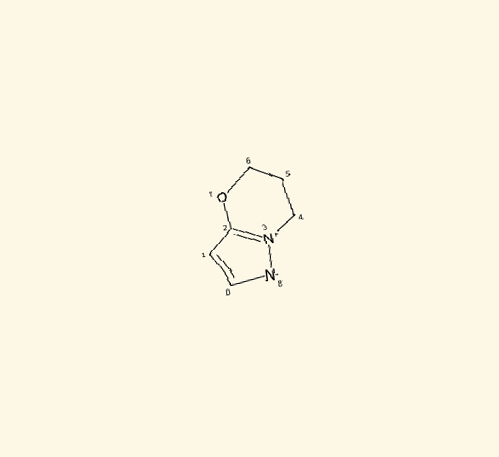 C1=CC2=[N+](CCCO2)[N]1